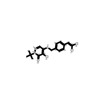 CC(C)(C)n1ncc(SCc2ccc(C=C(Cl)Cl)cc2)c(Cl)c1=O